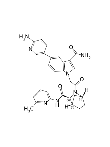 Cc1cccc(NC(=O)[C@@H]2[C@H]3CC[C@H](C3)N2C(=O)Cn2cc(C(N)=O)c3cc(-c4ccc(N)nc4)ccc32)n1